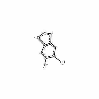 CC(C)c1cc2sccc2cc1O